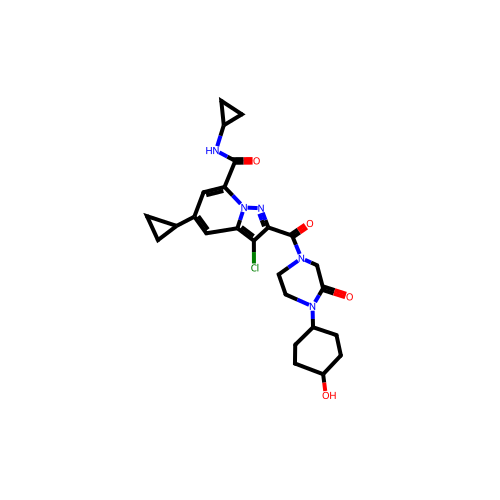 O=C(NC1CC1)c1cc(C2CC2)cc2c(Cl)c(C(=O)N3CCN(C4CCC(O)CC4)C(=O)C3)nn12